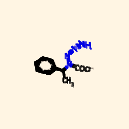 CC(c1ccccc1)N(N=[N+]=N)C(=O)[O-]